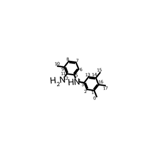 Cc1cc(Nc2cccc(C)c2N)cc(C)c1C